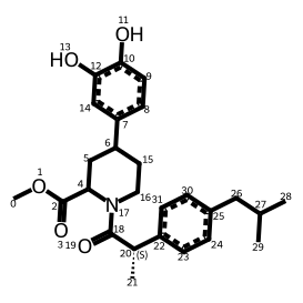 COC(=O)C1CC(c2ccc(O)c(O)c2)CCN1C(=O)[C@@H](C)c1ccc(CC(C)C)cc1